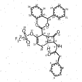 O=C(Cc1ccccc1)NC1C(=O)N2C(C(=O)OC(c3ccccc3)c3ccccc3)C(OS(=O)(=O)C(F)(F)F)=CS[C@H]12